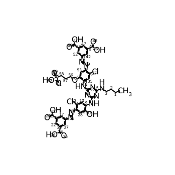 CCCCNc1nc(Nc2cc(Cl)c(N=Nc3cc(C(=O)O)cc(C(=O)O)c3)cc2O)nc(Nc2cc(Cl)c(N=Nc3cc(C(=O)O)cc(C(=O)O)c3)cc2OCCCS(=O)(=O)O)n1